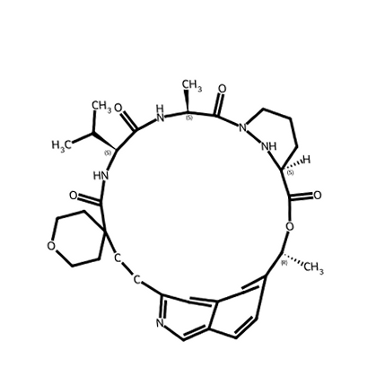 CC(C)[C@@H]1NC(=O)C2(CCOCC2)CCc2cc3cc(ccc3cn2)[C@@H](C)OC(=O)[C@@H]2CCCN(N2)C(=O)[C@H](C)NC1=O